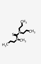 CCCN(C)C(=S)N(CCC)CCC